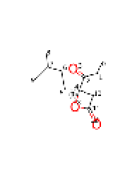 CCC(=O)[C@@]1(CCC(C)C)CC(=O)O1